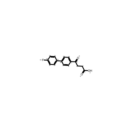 O=C(O)CCC(=O)c1ccc(-c2ccc(F)cc2)cc1